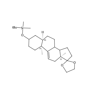 CC(C)(C)[Si](C)(C)OC1CC[C@]2(C)C3=CC[C@@]4(C)C(CCC45OCCO5)C3CC[C@@H]2C1